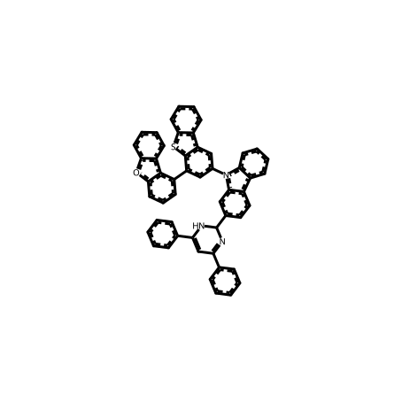 C1=C(c2ccccc2)NC(c2ccc3c4ccccc4n(-c4cc(-c5cccc6oc7ccccc7c56)c5sc6ccccc6c5c4)c3c2)N=C1c1ccccc1